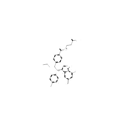 CCC[C@H](c1ccc(C(=O)NCCC(=O)O)cc1)[C@H](c1ccc(C)cc1)c1c[nH]c2c(F)cc(C)cc12